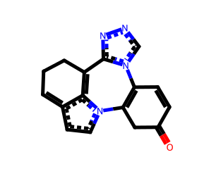 O=C1C=CC2=C(C1)n1ccc3c1=C(CCC=3)c1nncn12